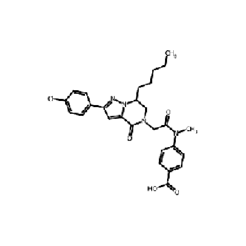 CCCCCC1CN(CC(=O)N(C)c2ccc(C(=O)O)cc2)C(=O)c2cc(-c3ccc(Cl)cc3)nn21